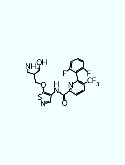 NCC(CO)COc1sncc1NC(=O)c1ccc(C(F)(F)F)c(-c2c(F)cccc2F)n1